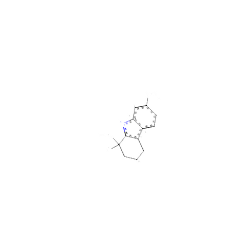 CCOC(=O)c1ccc2c3c([nH]c2c1)C(C)(C)CCC3